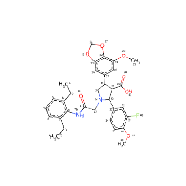 CCc1cccc(CC)c1NC(=O)CN1CC(c2cc(OC)c3c(c2)OCO3)C(C(=O)O)C1c1ccc(OC)c(F)c1